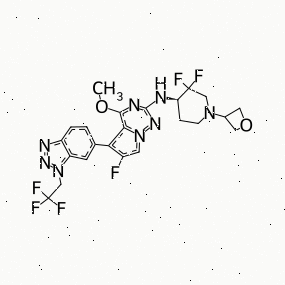 COc1nc(N[C@@H]2CCN(C3COC3)CC2(F)F)nn2cc(F)c(-c3ccc4nnn(CC(F)(F)F)c4c3)c12